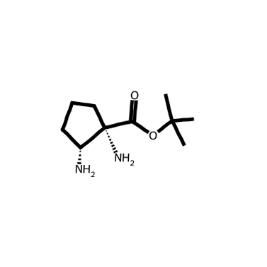 CC(C)(C)OC(=O)[C@]1(N)CCC[C@H]1N